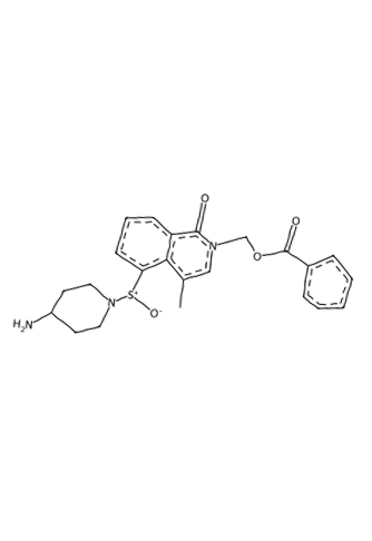 Cc1cn(COC(=O)c2ccccc2)c(=O)c2cccc([S+]([O-])N3CCC(N)CC3)c12